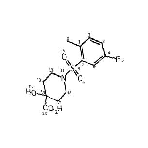 Cc1ccc(F)cc1S(=O)(=O)N1CCC(O)(C(=O)O)CC1